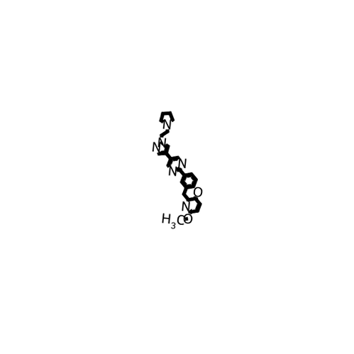 COC1=NC(Cc2cccc(-c3ncc(-c4cnn(CCN5CCCC5)c4)cn3)c2)C(=O)C=C1